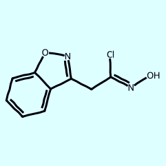 ON=C(Cl)Cc1noc2ccccc12